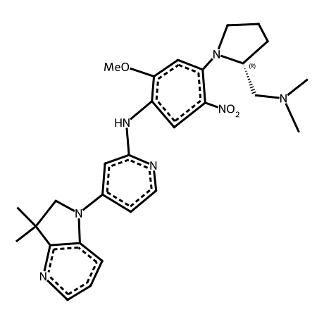 COc1cc(N2CCC[C@@H]2CN(C)C)c([N+](=O)[O-])cc1Nc1cc(N2CC(C)(C)c3ncccc32)ccn1